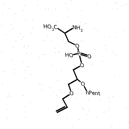 C=CCOCC(COP(=O)(O)OCC(N)C(=O)O)OCCCCC